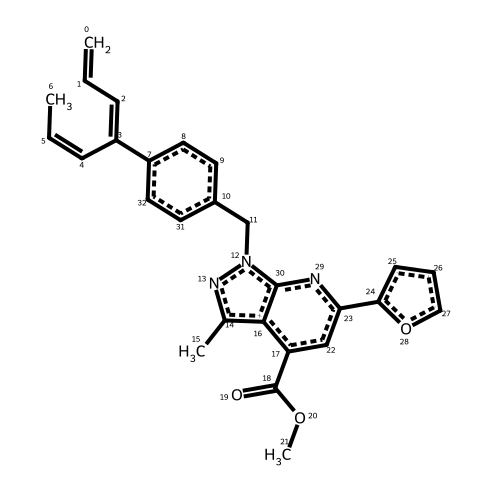 C=C/C=C(\C=C/C)c1ccc(Cn2nc(C)c3c(C(=O)OC)cc(-c4ccco4)nc32)cc1